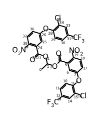 CC(OC(=O)c1cc(Oc2ccc(C(F)(F)F)cc2Cl)ccc1[N+](=O)[O-])OC(=O)c1cc(Oc2ccc(C(F)(F)F)cc2Cl)ccc1[N+](=O)[O-]